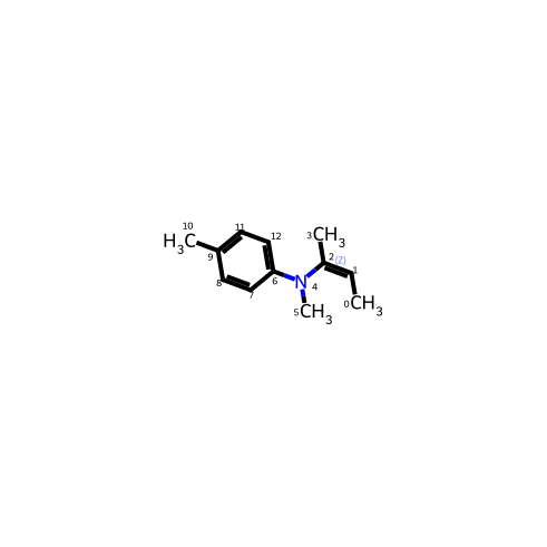 C/C=C(/C)N(C)c1ccc(C)cc1